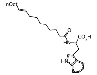 CCCCCCCCC=CCCCCCCCC(=O)NC(Cc1c[nH]c2ccccc12)C(=O)O